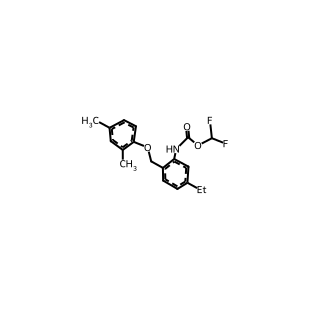 CCc1ccc(COc2ccc(C)cc2C)c(NC(=O)OC(F)F)c1